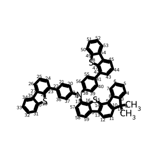 CC1(C)c2ccccc2-c2c1ccc1c2sc2c(N(c3ccc(-c4cccc5c4sc4ccccc45)cc3)c3ccc(-c4cccc5c4sc4ccccc45)cc3)cccc21